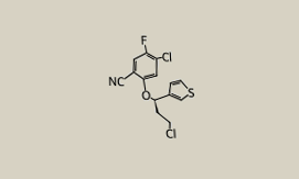 N#Cc1cc(F)c(Cl)cc1O[C@H](CCCl)c1ccsc1